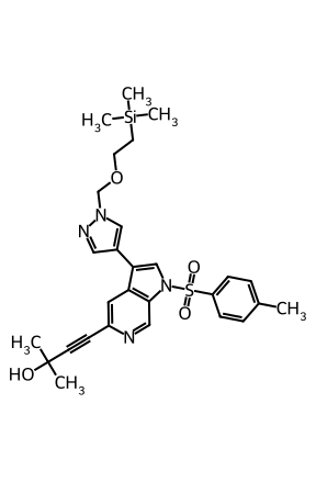 Cc1ccc(S(=O)(=O)n2cc(-c3cnn(COCC[Si](C)(C)C)c3)c3cc(C#CC(C)(C)O)ncc32)cc1